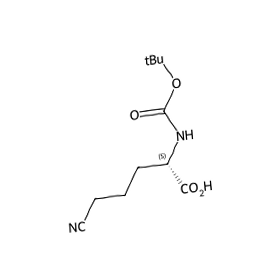 CC(C)(C)OC(=O)N[C@@H](CCCC#N)C(=O)O